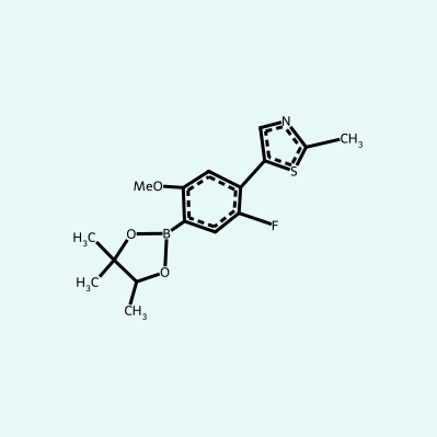 COc1cc(-c2cnc(C)s2)c(F)cc1B1OC(C)C(C)(C)O1